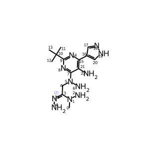 CN(N)/C(CN(N)c1nc(C(C)(C)C)nc(-c2cn[nH]c2)c1N)=N\N